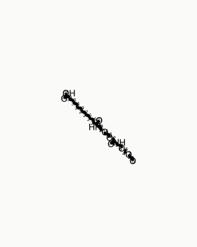 O=[C]COCCOCCNC(=O)COCCOCCNC(=O)CCCCCCCCCCCCCCC(=O)O